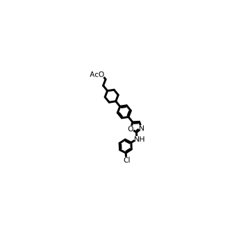 CC(=O)OCCC1CCC(c2ccc(-c3cnc(Nc4cccc(Cl)c4)o3)cc2)CC1